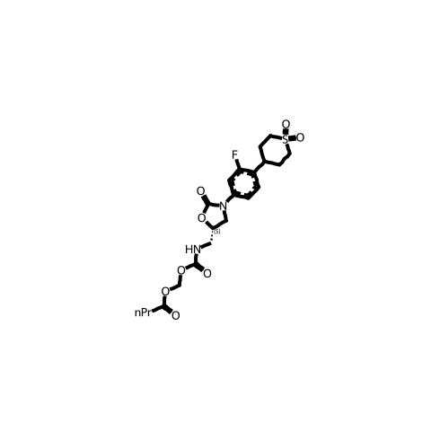 CCCC(=O)OCOC(=O)NC[C@H]1CN(c2ccc(C3CCS(=O)(=O)CC3)c(F)c2)C(=O)O1